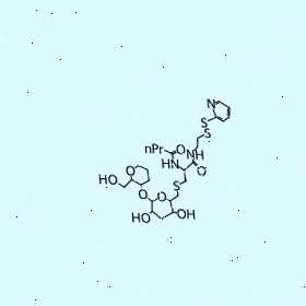 CCCC(=O)N[C@H](CSCC1OC(O[C@H]2CCCOC2CO)C(O)C[C@@H]1O)C(=O)NCCSSc1ccccn1